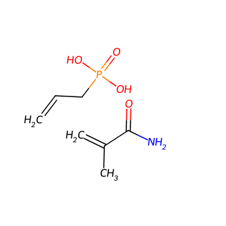 C=C(C)C(N)=O.C=CCP(=O)(O)O